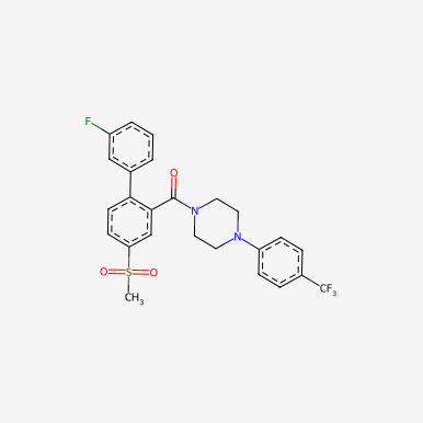 CS(=O)(=O)c1ccc(-c2cccc(F)c2)c(C(=O)N2CCN(c3ccc(C(F)(F)F)cc3)CC2)c1